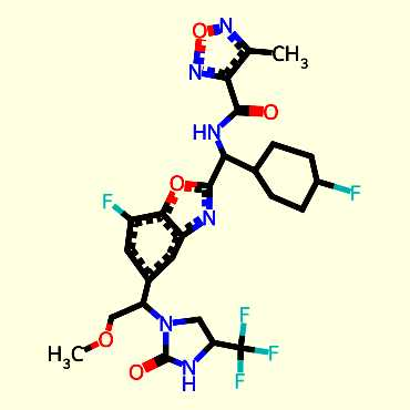 COCC(c1cc(F)c2oc(C(NC(=O)c3nonc3C)C3CCC(F)CC3)nc2c1)N1CC(C(F)(F)F)NC1=O